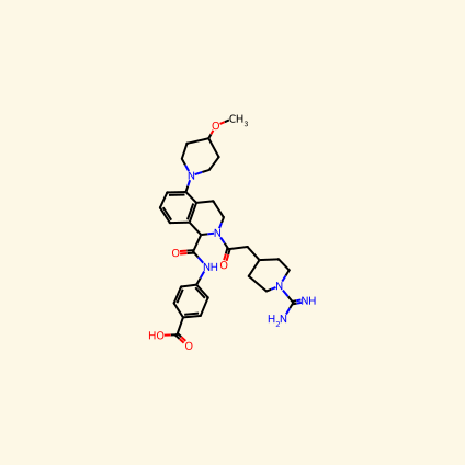 COC1CCN(c2cccc3c2CCN(C(=O)CC2CCN(C(=N)N)CC2)C3C(=O)Nc2ccc(C(=O)O)cc2)CC1